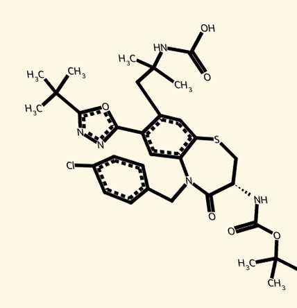 CC(C)(Cc1cc2c(cc1-c1nnc(C(C)(C)C)o1)N(Cc1ccc(Cl)cc1)C(=O)[C@@H](NC(=O)OC(C)(C)C)CS2)NC(=O)O